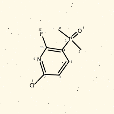 CP(C)(=O)c1ccc(Cl)nc1F